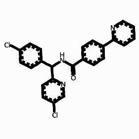 O=C(NC(c1ccc(Cl)cc1)c1ccc(Cl)cn1)c1ccc(-c2ccccn2)cc1